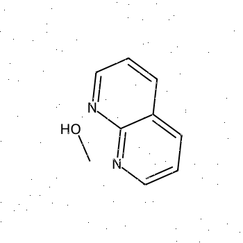 CO.c1cnc2ncccc2c1